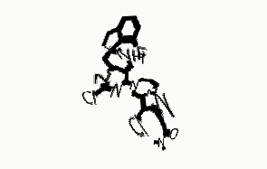 CN(C)C(=O)c1nn2c(c1Cl)CN(c1nc(Cl)nc3c1CN[C@@]1(CCc4cccc(F)c41)C3)CCC2